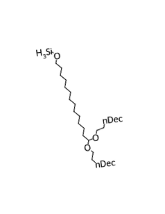 CCCCCCCCCCCCOC(CCCCCCCCCCCCCO[SiH3])OCCCCCCCCCCCC